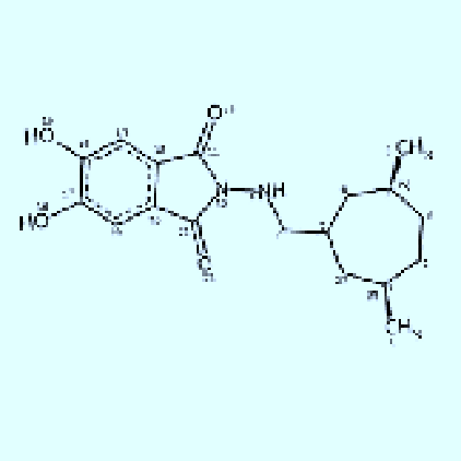 C[C@@H]1CC[C@H](C)CC(CNN2C(=O)c3cc(O)c(O)cc3C2=O)C1